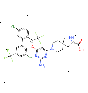 Nc1nc(O[C@H](c2ccc(Cl)cc2-c2cc(Cl)cc(C(F)(F)F)c2)C(F)(F)F)cc(N2CCC3(CC2)CN[C@H](C(=O)O)C3)n1